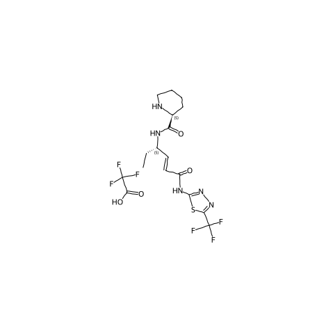 CC[C@@H](C=CC(=O)Nc1nnc(C(F)(F)F)s1)NC(=O)[C@@H]1CCCCN1.O=C(O)C(F)(F)F